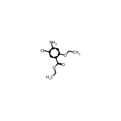 CCOC(=O)c1cc(Cl)c(N)cc1OCC